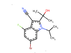 CC(C)n1c(C(C)(C)O)c(C#N)c2c(F)cc(Br)cc21